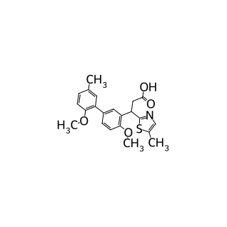 COc1ccc(C)cc1-c1ccc(OC)c(C(CC(=O)O)c2ncc(C)s2)c1